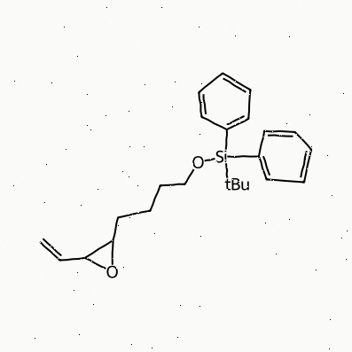 C=CC1OC1CCCCO[Si](c1ccccc1)(c1ccccc1)C(C)(C)C